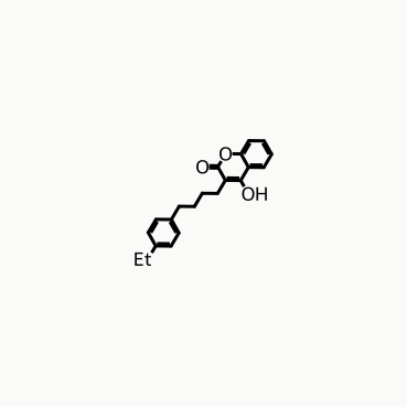 CCc1ccc(CCCCc2c(O)c3ccccc3oc2=O)cc1